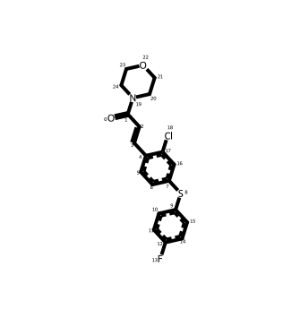 O=C(/C=C/c1ccc(Sc2ccc(F)cc2)cc1Cl)N1CCOCC1